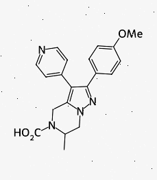 COc1ccc(-c2nn3c(c2-c2ccncc2)CN(C(=O)O)C(C)C3)cc1